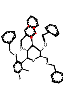 Cc1c(Br)ccc(OCc2ccccc2)c1[C@@H]1O[C@H](COCc2ccccc2)[C@@H](OCc2ccccc2)[C@H](OCc2ccccc2)[C@H]1OCc1ccccc1